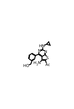 CC(=O)c1sc2nc(NC3CC3)nc(-c3cccc(CO)c3)c2c1N